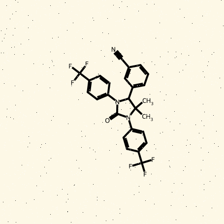 CC1(C)C(c2cccc(C#N)c2)N(c2ccc(C(F)(F)F)cc2)C(=O)N1c1ccc(C(F)(F)F)cc1